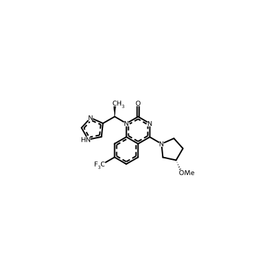 CO[C@H]1CCN(c2nc(=O)n([C@H](C)c3c[nH]cn3)c3cc(C(F)(F)F)ccc23)C1